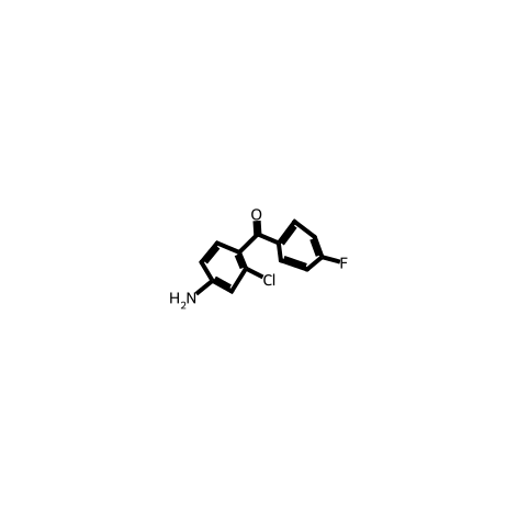 Nc1ccc(C(=O)c2ccc(F)cc2)c(Cl)c1